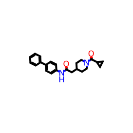 O=C(CC1CCN(C(=O)C2CC2)CC1)Nc1ccc(-c2ccccc2)cc1